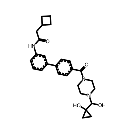 O=C(CC1CCC1)Nc1cccc(-c2ccc(C(=O)N3CCN(C(O)C4(O)CC4)CC3)cc2)c1